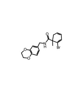 CC1(C(=O)NCc2ccc3c(c2)OCCO3)CC=CC=C1Br